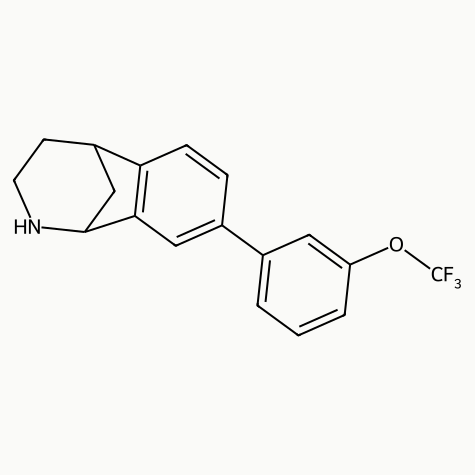 FC(F)(F)Oc1cccc(-c2ccc3c(c2)C2CC3CCN2)c1